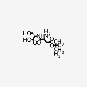 CC(C)(C)OC(=O)C[C@H](N)C(=O)N[C@@H](CO)C(=O)O